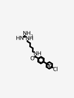 N=C(N)NCCCCCNC(=O)c1ccc(C23CCC(Cl)(CC2)CC3)cc1